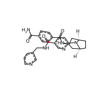 NC(=O)c1ccc(C(=O)N[C@H]2C[C@H]3CC[C@@H](C2)N3c2ccc(C(=O)NCc3cccnc3)cn2)cc1